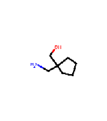 NCC1(CO)CCCC1